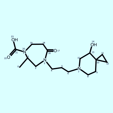 CC1CN(CCCN2CCC3(CC3)C(O)C2)C(=O)CCN1C(=O)O